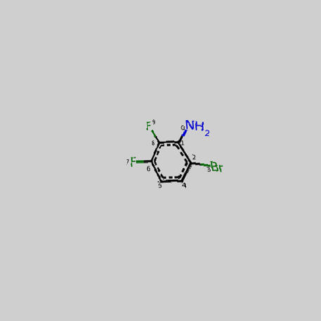 Nc1c(Br)c[c]c(F)c1F